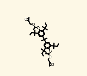 CCC(C)(C)c1cc(C(C)(C)c2cc(C(C)(C)CC)c(OC(C)OCC3CO3)c(C(C)(C)CC)c2)cc(C(C)(C)CC)c1OC(C)OCC1CO1